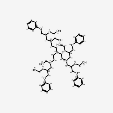 OCOC(COc1ccccc1)CN(CO)CCN(CCN(CO)CC(COc1ccccc1)OCO)CCN(CC(COc1ccccc1)OCO)CC(COc1ccccc1)OCO